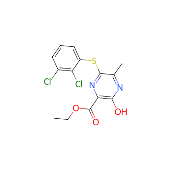 CCOC(=O)c1nc(Sc2cccc(Cl)c2Cl)c(C)nc1O